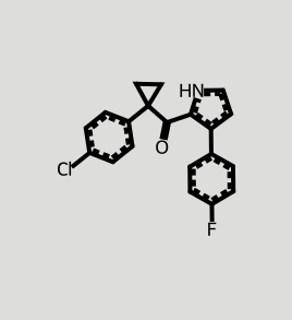 O=C(c1[nH]ccc1-c1ccc(F)cc1)C1(c2ccc(Cl)cc2)CC1